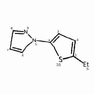 CCc1ccc(-n2cccn2)s1